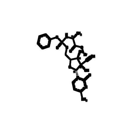 C#C[C@@]1(O)[C@H](O)C(COP(=O)(N[C@@H](C)C(=O)OC(C)C)Oc2ccccc2)O[C@H]1n1ccc(N)nc1=O